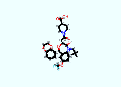 CC(C)(C)CN1C(=O)[C@H](CC(=O)N2CCC(C(=O)O)CC2)O[C@@H](c2cccc3c2OCCO3)c2cc(OC(F)(F)F)ccc21